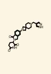 O=C1CCC(N2Cc3cc(N4CC5(CCN(Cc6cn[nH]c6)CC5)C4)ccc3C2=O)C(=O)N1